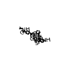 CC1(C2=CCNC=C2)SC[C@@H](C(=O)Nc2nc(-c3ccc(C(=O)NC4CC4)cc3)cs2)N1C(=O)OCc1ccccc1